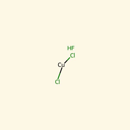 F.[Cl][Cu][Cl]